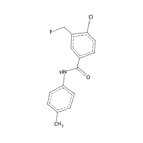 Cc1ccc(NC(=O)c2ccc(Cl)c(CF)c2)cc1